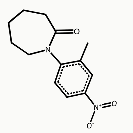 Cc1cc([N+](=O)[O-])ccc1N1CCCCCC1=O